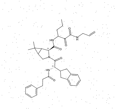 C=CCNC(=O)C(=O)C(CCC)NC(=O)[C@@H]1C2C(CN1C(=O)[C@@H](NC(=O)CCc1ccccc1)C1Cc3ccccc3C1)C2(C)C